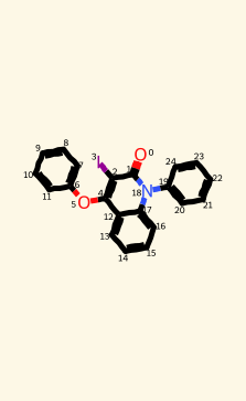 O=c1c(I)c(Oc2ccccc2)c2ccccc2n1-c1ccccc1